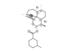 CC1CCCC(C(=O)O[C@@H]2O[C@@H]3O[C@]4(C)CC[C@H]5[C@H](C)CC[C@@H]([C@H]2C)C35OO4)C1